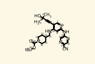 CC(C)(O)C#Cc1cnc(Nc2cnc(C#N)cn2)cc1NCC1CCN(C(=O)OC(C)(C)C)CC1